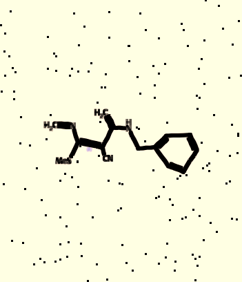 C=N/C(SC)=C(/C#N)C(=C)NCc1ccccc1